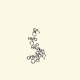 CN1CCC(C(=O)Nc2cccc(C(=O)Nc3n[nH]c4c3CN(C(=O)Nc3c(Cl)cccc3Cl)C4(C)C)c2)CC1